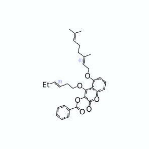 CC/C=C/CCOc1c(OC(=O)c2ccccc2)c(=O)oc2cccc(OC/C=C(\C)CCC=C(C)C)c12